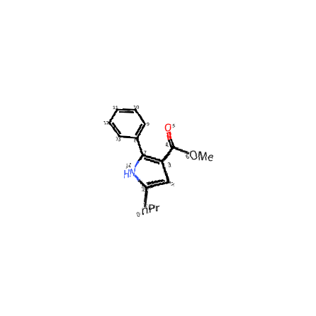 CCCc1cc(C(=O)OC)c(-c2ccccc2)[nH]1